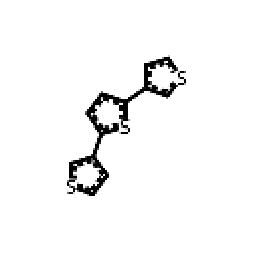 c1cc(-c2ccc(-c3ccsc3)s2)cs1